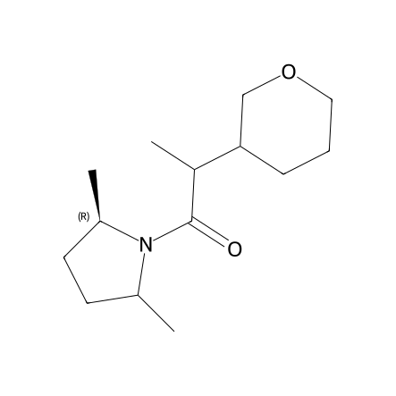 CC(C(=O)N1C(C)CC[C@H]1C)C1CCCOC1